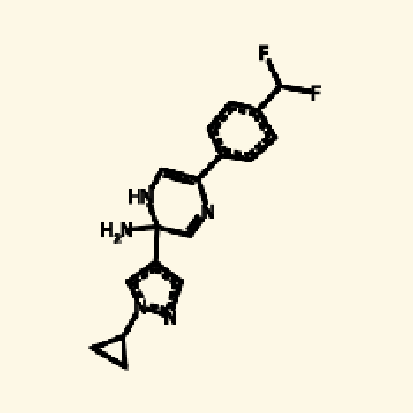 NC1(c2cnn(C3CC3)c2)C=NC(c2ccc(C(F)F)cc2)=CN1